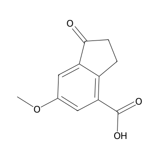 COc1cc(C(=O)O)c2c(c1)C(=O)CC2